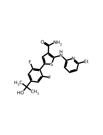 CCc1cccc(Nc2sc(-c3c(F)cc(C(C)(C)O)cc3F)cc2C(N)=O)n1